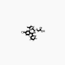 Cc1cnc2n1-c1cc(Cl)ccc1C(c1ccccn1)=N[C@H]2CCC(=O)O